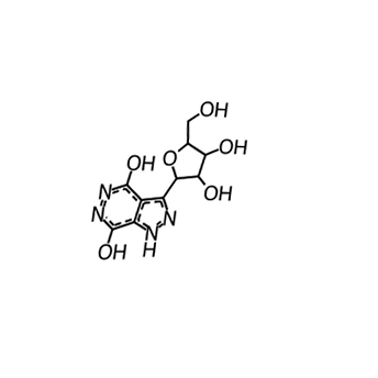 OCC1OC(c2n[nH]c3c(O)nnc(O)c23)C(O)C1O